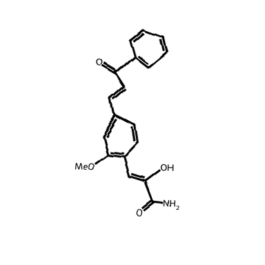 COc1cc(C=CC(=O)c2ccccc2)ccc1C=C(O)C(N)=O